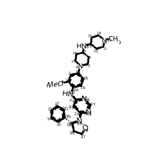 COc1cc(N2CCC(NC3CCN(C)CC3)CC2)ccc1Nc1cc(N2OCC[C@@H]2c2ccccc2)ncn1